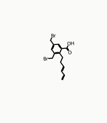 C=CC=CCCc1c(CBr)cc(CBr)cc1C(=O)O